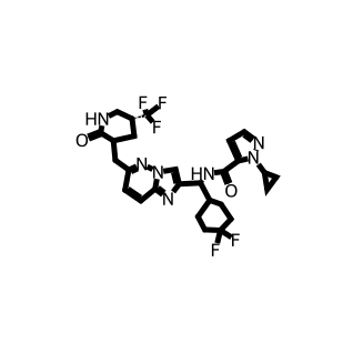 O=C(N[C@H](c1cn2nc(CC3C[C@@H](C(F)(F)F)CNC3=O)ccc2n1)C1CCC(F)(F)CC1)c1ccnn1C1CC1